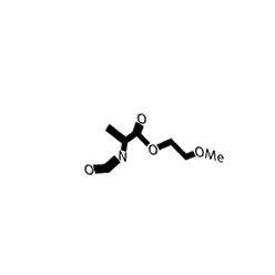 C=C(N=C=O)C(=O)OCCOC